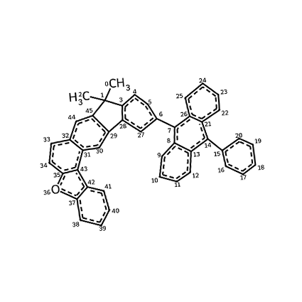 CC1(C)c2ccc(-c3c4ccccc4c(-c4ccccc4)c4ccccc34)cc2-c2cc3c(ccc4oc5ccccc5c43)cc21